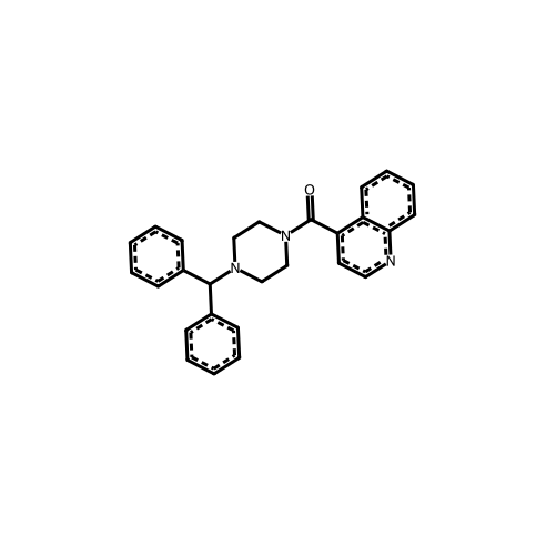 O=C(c1ccnc2ccccc12)N1CCN(C(c2ccccc2)c2ccccc2)CC1